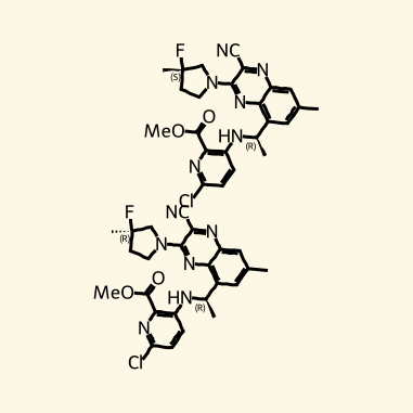 COC(=O)c1nc(Cl)ccc1N[C@H](C)c1cc(C)cc2nc(C#N)c(N3CC[C@@](C)(F)C3)nc12.COC(=O)c1nc(Cl)ccc1N[C@H](C)c1cc(C)cc2nc(C#N)c(N3CC[C@](C)(F)C3)nc12